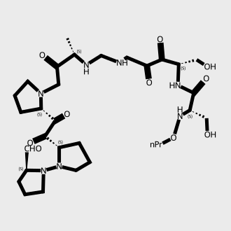 CCCON[C@@H](CO)C(=O)N[C@@H](CO)C(=O)C(=O)CNCN[C@@H](C)C(=O)CN1CCC[C@H]1C(=O)C(=O)[C@@H]1CCCN1N1CCC[C@H]1C=O